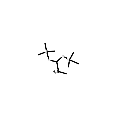 C[SiH2]C(O[Si](C)(C)C)O[Si](C)(C)C